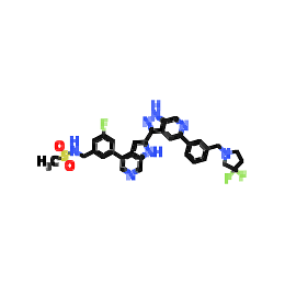 CS(=O)(=O)NCc1cc(F)cc(-c2cncc3[nH]c(-c4n[nH]c5cnc(-c6cccc(CN7CCC(F)(F)C7)c6)cc45)cc23)c1